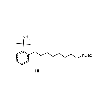 CCCCCCCCCCCCCCCCCCc1ccccc1C(C)(C)N.I